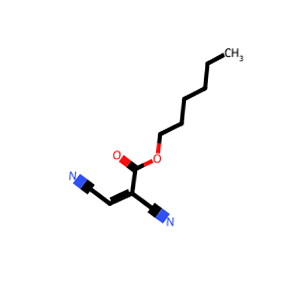 CCCCCCOC(=O)/C(C#N)=C\C#N